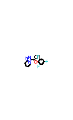 C[C@@H](Oc1c(F)cc(F)cc1F)c1nnc2ccccn12